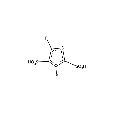 O=S(=O)(O)c1sc(F)c(S(=O)(=O)O)c1F